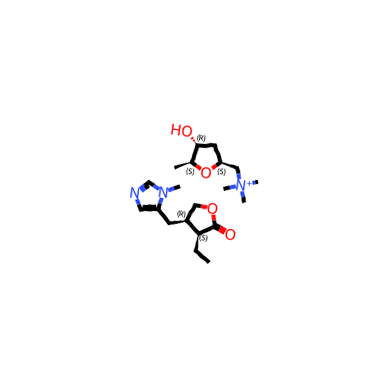 CC[C@@H]1C(=O)OC[C@@H]1Cc1cncn1C.C[C@@H]1O[C@H](C[N+](C)(C)C)C[C@H]1O